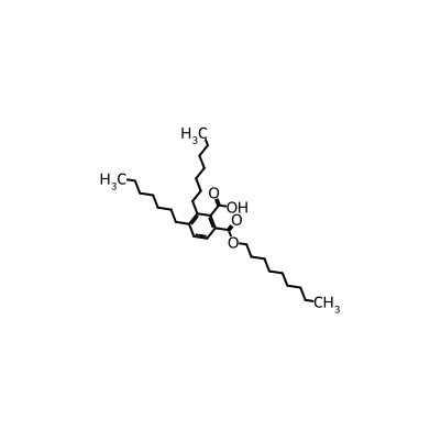 CCCCCCCCCOC(=O)c1ccc(CCCCCCC)c(CCCCCCC)c1C(=O)O